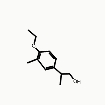 CCOc1ccc([C](C)CO)cc1C